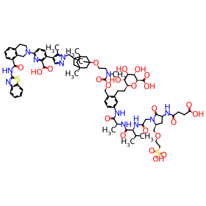 Cc1c(-c2ccc(N3CCc4cccc(C(=O)Nc5nc6ccccc6s5)c4C3)nc2C(=O)O)cnn1CC12CC3(C)CC(OCCN(C)C(=O)OCc4ccc(NC(=O)[C@H](C)NC(=O)[C@@H](NC(=O)CN5C(=O)C(NC(=O)CCC(=O)O)C[C@H]5COCCS(=O)(=O)O)C(C)C)cc4CC[C@@H]4O[C@H](C(=O)O)[C@@H](O)[C@H](O)[C@H]4O)(CC1(C)C3)C2